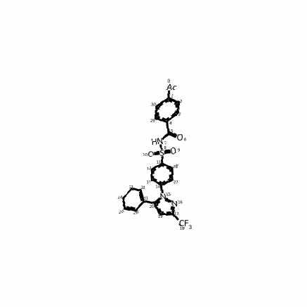 CC(=O)c1ccc(C(=O)NS(=O)(=O)c2ccc(-n3nc(C(F)(F)F)cc3C3=CCCC=C3)cc2)cc1